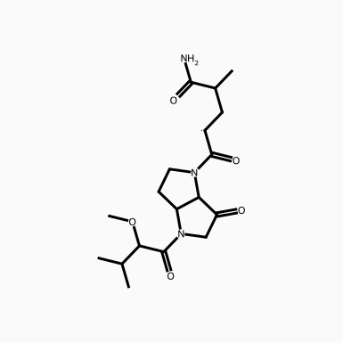 COC(C(=O)N1CC(=O)C2C1CCN2C(=O)[CH]CC(C)C(N)=O)C(C)C